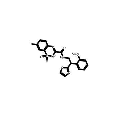 COc1ccccc1C(CNC(=O)C1=Nc2ccc(I)cc2S(=O)(=O)N1)c1ncco1